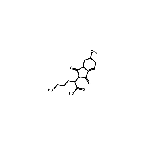 CCCCC(C(=O)O)N1C(=O)C2=CCC(C)CC2C1=O